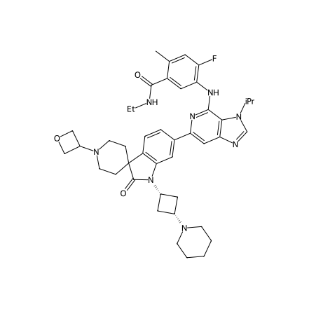 CCNC(=O)c1cc(Nc2nc(-c3ccc4c(c3)N([C@H]3C[C@@H](N5CCCCC5)C3)C(=O)C43CCN(C4COC4)CC3)cc3ncn(C(C)C)c23)c(F)cc1C